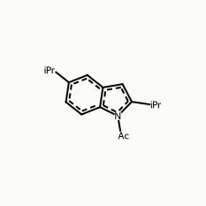 CC(=O)n1c(C(C)C)cc2cc(C(C)C)ccc21